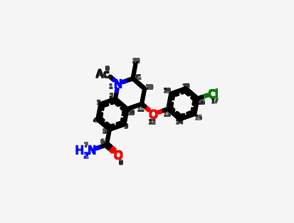 CC(=O)N1c2ccc(C(N)=O)cc2C(Oc2ccc(Cl)cc2)CC1C